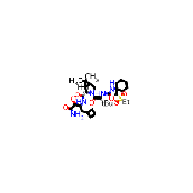 CCS(=O)(=O)CC1(NC(=O)N[C@H](C(=O)N2CC3[C@@H]([C@H]2C(=O)NC(CC2CCC2)C(=O)C(N)=O)C3(C)C)C(C)(C)C)CCCCC1